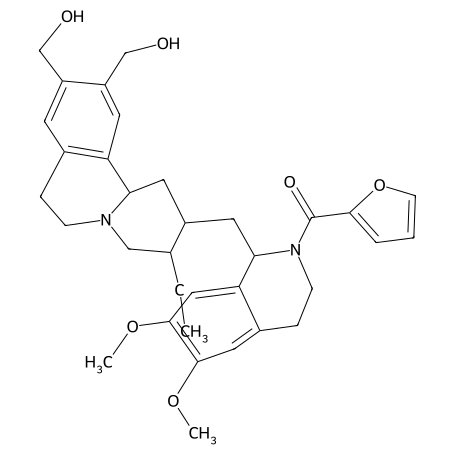 CCC1CN2CCc3cc(CO)c(CO)cc3C2CC1CC1c2cc(OC)c(OC)cc2CCN1C(=O)c1ccco1